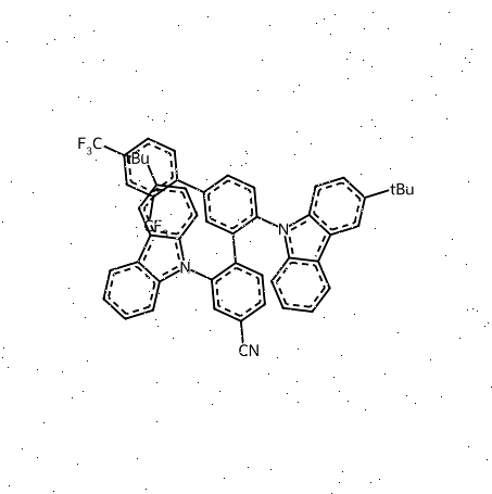 CC(C)(C)c1ccc2c(c1)c1ccccc1n2-c1ccc(-c2ccc(C(F)(F)F)cc2C(F)(F)F)cc1-c1ccc(C#N)cc1-n1c2ccccc2c2cc(C(C)(C)C)ccc21